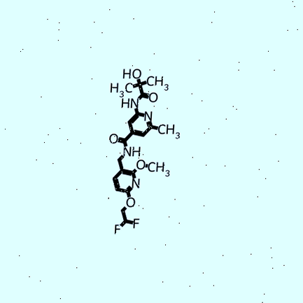 COc1nc(OCC(F)F)ccc1CNC(=O)c1cc(C)nc(NC(=O)C(C)(C)O)c1